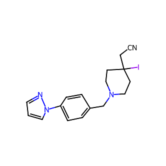 N#CCC1(I)CCN(Cc2ccc(-n3cccn3)cc2)CC1